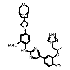 COc1cc(N2CC(N3C4CCC3COC4)C2)ccc1Nc1ncc(-c2ccc(C#N)c(O[C@@H](C)Cn3cnnn3)c2)cn1